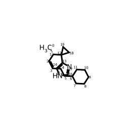 C[C@@H](/C=C\CCC1CCCCC1)C1(c2c[nH]cn2)CC1